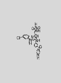 O=C1NC(=O)C(=Cc2cnn3c(Nc4cccc(C(=O)N5CCNCC5)c4)cc(Nc4cccc(Cl)c4)nc23)N1